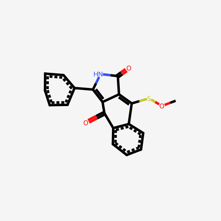 COSC1=C2C(=O)NC(c3ccccc3)=C2C(=O)c2ccccc21